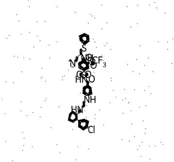 CN(C)CC[C@H](CSc1ccccc1)Nc1ccc(S(=O)(=O)NC(=O)c2ccc(NCCNC[C@H]3CCCC[C@@H]3c3ccc(Cl)cc3)cc2)cc1S(=O)(=O)C(F)(F)F